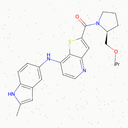 Cc1cc2cc(Nc3ccnc4cc(C(=O)N5CCC[C@H]5COC(C)C)sc34)ccc2[nH]1